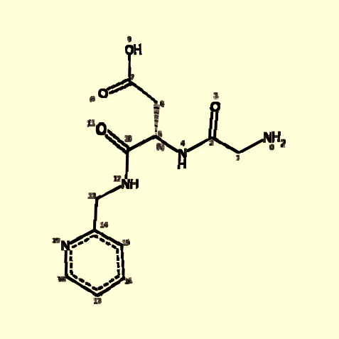 NCC(=O)N[C@@H](CC(=O)O)C(=O)NCc1ccccn1